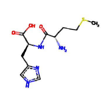 CSCC[C@H](N)C(=O)N[C@@H](Cc1c[nH]cn1)C(=O)O